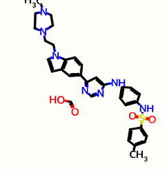 Cc1ccc(S(=O)(=O)Nc2ccc(Nc3cc(-c4ccc5c(ccn5CCN5CCN(C)CC5)c4)ncn3)cc2)cc1.O=CO